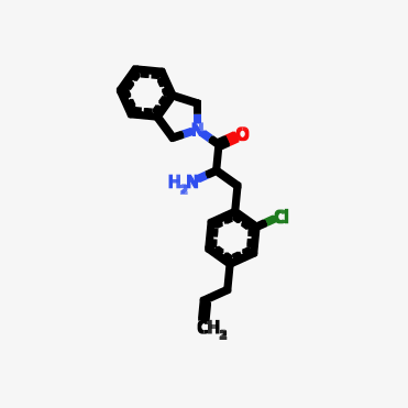 C=CCc1ccc(CC(N)C(=O)N2Cc3ccccc3C2)c(Cl)c1